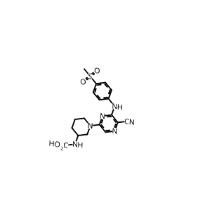 CS(=O)(=O)c1ccc(Nc2nc(N3CCCC(NC(=O)O)C3)cnc2C#N)cc1